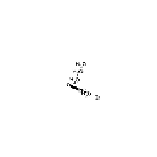 O.O.O.O.O=[N+]([O-])[O-].[Zr]